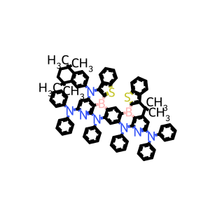 CC1(C)CCC(C)(C)c2cc(N3c4cc(N(c5ccccc5)c5ccccc5)nc5c4B(c4cc6c(cc4N5c4ccccc4)N(c4ccccc4)c4nc(N(c5ccccc5)c5ccccc5)cc5c4B6c4sc6ccccc6c4C5(C)C)c4sc5ccccc5c43)ccc21